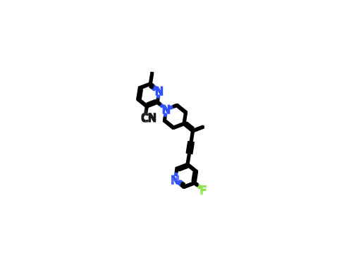 CC(C#Cc1cncc(F)c1)=C1CCN(c2nc(C)ccc2C#N)CC1